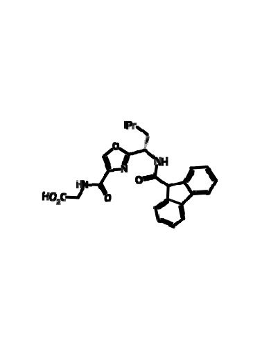 CC(C)C[C@H](NC(=O)C1c2ccccc2-c2ccccc21)c1nc(C(=O)NCC(=O)O)co1